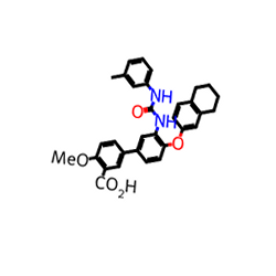 COc1ccc(-c2ccc(Oc3ccc4c(c3)CCCC4)c(NC(=O)Nc3cccc(C)c3)c2)cc1C(=O)O